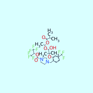 CC(OC(=O)C(C)C)OC(O)C(C)(C)Oc1cc(C(F)(F)F)ccc1CN1CCN(C(=O)OC(C(F)(F)F)C(F)(F)F)CC1